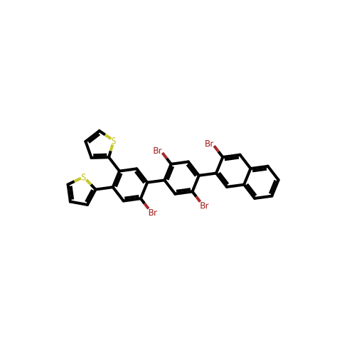 Brc1cc(-c2cc3ccccc3cc2Br)c(Br)cc1-c1cc(-c2cccs2)c(-c2cccs2)cc1Br